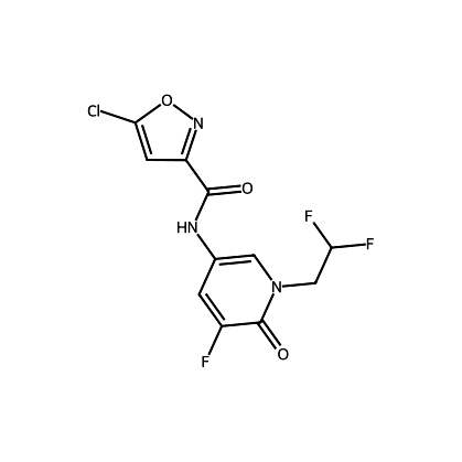 O=C(Nc1cc(F)c(=O)n(CC(F)F)c1)c1cc(Cl)on1